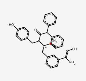 NC(=O)[C@@H](Cc1cccc(C(N)=NO)c1)N(Cc1ccc(O)cc1)C(=O)C(c1ccccc1)c1ccccc1